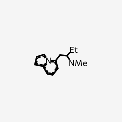 CCC(Cc1cccc2cccn12)NC